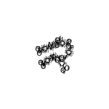 COC(=O)c1ccc(S(=O)(=O)Cc2ccn(-c3ccc([N+](=O)[O-])cc3)n2)c(C#Cc2ccc(F)cc2)c1.COC(=O)c1ccc(S(=O)(=O)Cc2ccn(-c3ccc([N+](=O)[O-])cc3)n2)c(I)c1